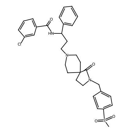 CS(=O)(=O)c1ccc(CN2CCC3(CCN(CCC(NC(=O)c4cccc(Cl)c4)c4ccccc4)CC3)C2=O)cc1